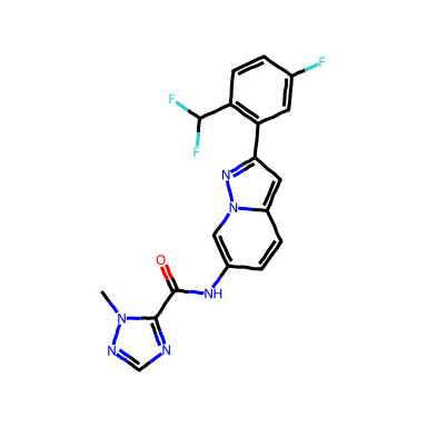 Cn1ncnc1C(=O)Nc1ccc2cc(-c3cc(F)ccc3C(F)F)nn2c1